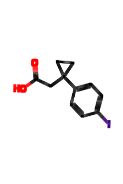 O=C(O)CC1(c2ccc(I)cc2)CC1